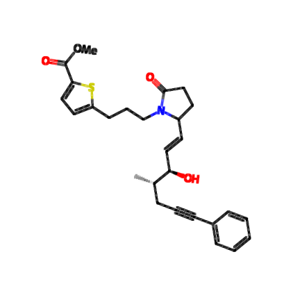 COC(=O)c1ccc(CCCN2C(=O)CCC2C=C[C@@H](O)[C@@H](C)CC#Cc2ccccc2)s1